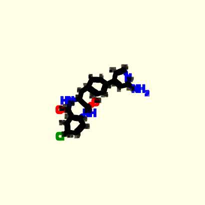 Nc1cc(-c2ccc(CC3NC(=O)c4cc(Cl)ccc4NC3=O)cc2)ccn1